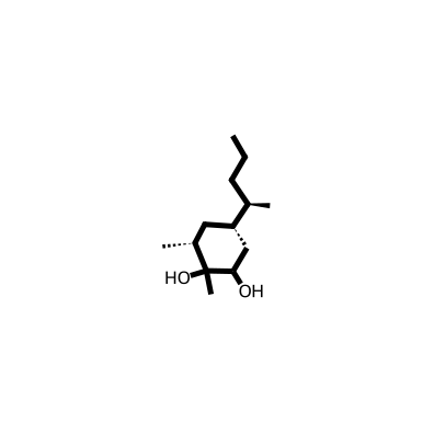 CCC[C@@H](C)[C@@H]1CC(O)C(C)(O)[C@H](C)C1